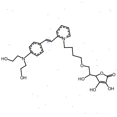 O=C1OC(C(O)COCCCC[n+]2ccccc2/C=C/c2ccc(N(CCO)CCO)cc2)C(O)=C1O